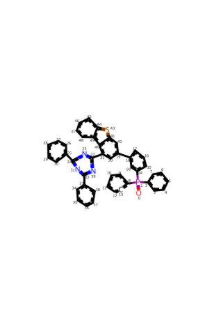 O=P(c1ccccc1)(c1ccccc1)c1cccc(-c2cc(-c3nc(-c4ccccc4)nc(-c4ccccc4)n3)c3c(c2)sc2ccccc23)c1